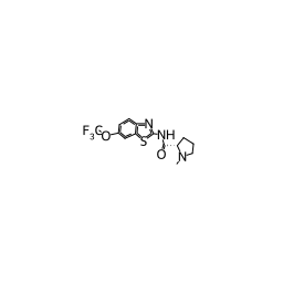 CN1CCC[C@H]1C(=O)Nc1nc2ccc(OC(F)(F)F)cc2s1